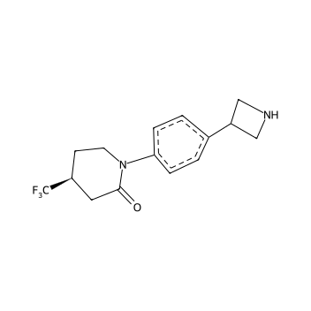 O=C1C[C@@H](C(F)(F)F)CCN1c1ccc(C2CNC2)cc1